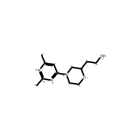 Cc1cc(N2CCOC(CCO)C2)nc(C)n1